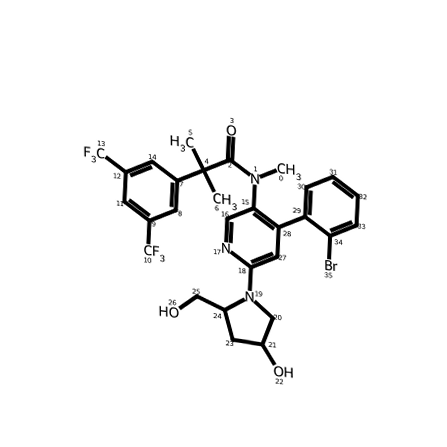 CN(C(=O)C(C)(C)c1cc(C(F)(F)F)cc(C(F)(F)F)c1)c1cnc(N2CC(O)CC2CO)cc1-c1ccccc1Br